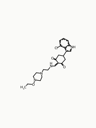 CCON1CCN(CCNC=C2C(=O)CC(c3c[nH]c4cccc(Cl)c34)CC2=O)CC1